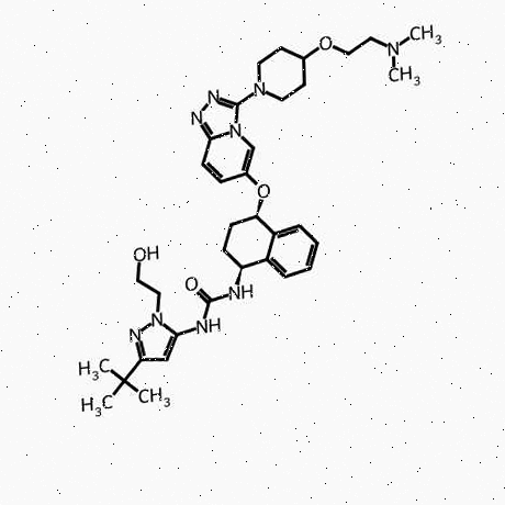 CN(C)CCOC1CCN(c2nnc3ccc(O[C@@H]4CC[C@H](NC(=O)Nc5cc(C(C)(C)C)nn5CCO)c5ccccc54)cn23)CC1